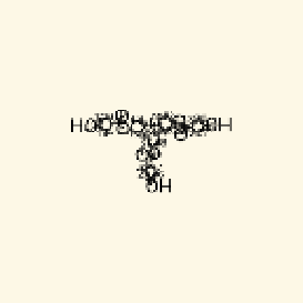 CC(c1ccc(OC(=O)c2ccc(O)cc2)cc1)(c1ccc(OC(=O)c2ccc(O)cc2)cc1)C1C=CC(OC(=O)c2ccc(O)cc2)=CC1